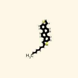 CCCCCCCc1cc2c(ccc3c2ccc2c4ccc5sccc5c4ccc32)s1